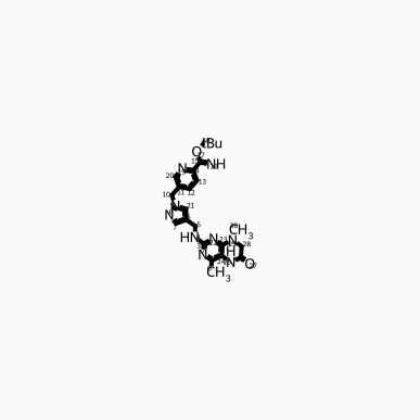 Cc1nc(NCc2cnn(Cc3ccc(C(=N)OC(C)(C)C)nc3)c2)nc2c1NC(=O)CN2C